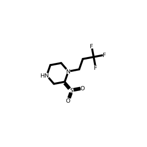 O=S(=O)=C1CNCCN1CCC(F)(F)F